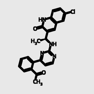 CC(=O)c1ccccc1-c1ccnc(N[C@@H](C)c2cc3cc(Cl)ccc3[nH]c2=O)n1